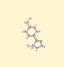 COc1cnc(-c2cncn2C)cn1